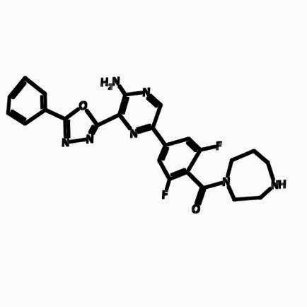 Nc1ncc(-c2cc(F)c(C(=O)N3CCCNCC3)c(F)c2)nc1-c1nnc(-c2ccccc2)o1